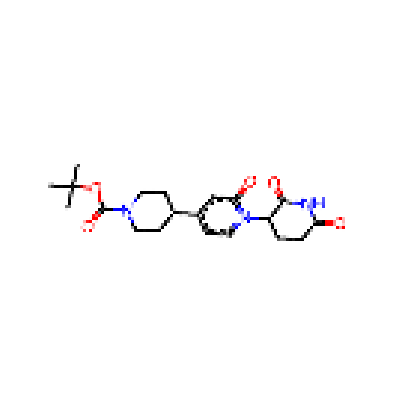 CC(C)(C)OC(=O)N1CCC(c2ccn(C3CCC(=O)NC3=O)c(=O)c2)CC1